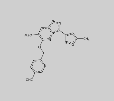 COc1cc2nnc(-c3cc(C)on3)n2nc1OCc1ccc(C=O)cn1